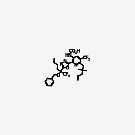 C=CCC[C@@](OCc1ccccc1)(c1nnc(-c2nc(CC(C)(C)CC=C)c(C(F)(F)F)cc2NC(=O)O)o1)C(F)(F)F